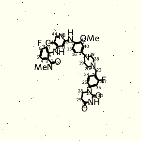 CNC(=O)c1ccccc1Nc1cc(Nc2ccc(N3CCN(Cc4ccc(N5CCC(=O)NC5=O)cc4F)CC3)cc2OC)ncc1C(F)(F)F